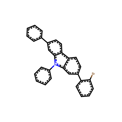 Brc1ccccc1-c1ccc2c3ccc(-c4ccccc4)cc3n(-c3ccccc3)c2c1